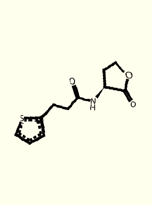 O=C(CCc1cccs1)N[C@H]1CCOC1=O